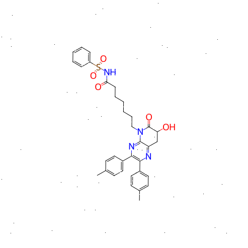 Cc1ccc(-c2nc3c(nc2-c2ccc(C)cc2)N(CCCCCCC(=O)NS(=O)(=O)c2ccccc2)C(=O)C(O)C3)cc1